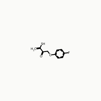 C=C(S)C(=O)COc1ccc(F)cc1